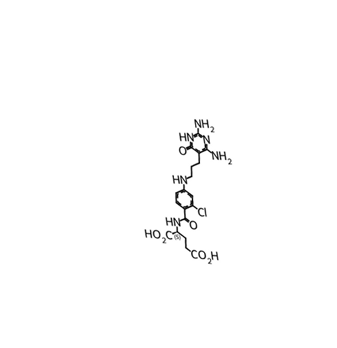 Nc1nc(N)c(CCCNc2ccc(C(=O)N[C@@H](CCC(=O)O)C(=O)O)c(Cl)c2)c(=O)[nH]1